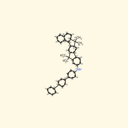 CC1(C)c2cc(Nc3ccc(-c4ccc(-c5ccccc5)cc4)cc3)ccc2-c2cc3c(cc21)-c1c(ccc2ccccc12)C3(C)C